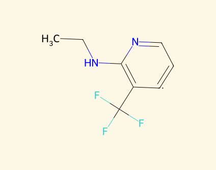 CCNc1ncc[c]c1C(F)(F)F